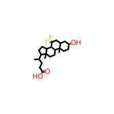 CC(CCC(=O)O)C1CCC2C3C(CCC12C)C1(C)CCC(O)CC1CC3(F)F